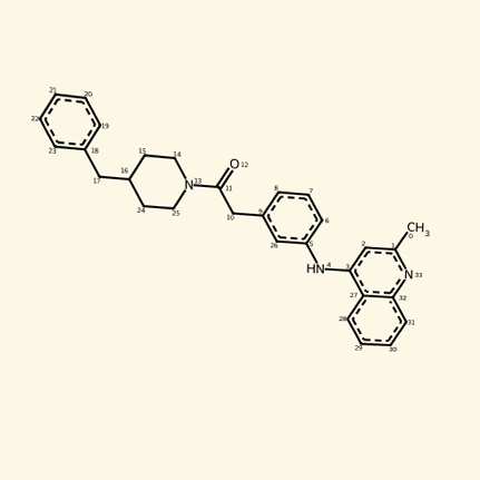 Cc1cc(Nc2cccc(CC(=O)N3CCC(Cc4ccccc4)CC3)c2)c2ccccc2n1